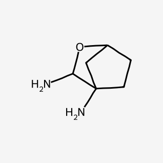 NC1OC2CCC1(N)C2